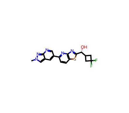 Cn1cc2cc(-c3ccc4sc([C@H](O)C5CC(F)(F)C5)nc4n3)cnc2n1